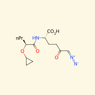 CCC[C@H](OC1CC1)C(=O)N[C@@H](CCC(=O)C=[N+]=[N-])C(=O)O